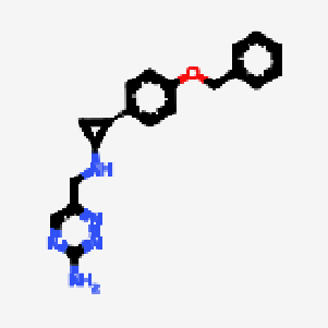 Nc1ncc(CN[C@H]2C[C@@H]2c2ccc(OCc3ccccc3)cc2)nn1